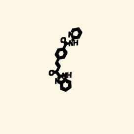 O=C(Nc1ccccn1)c1ccc(C=CC(=O)c2nc3ccccc3[nH]2)cc1